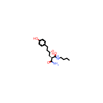 CCCCNC(=O)[C@H](C[C@@H](O)[CH]Cc1ccc(O)cc1)C(N)=O